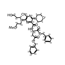 [C-]#[N+]c1nc(N2CCOCC2)c(C(=O)N[C@H](CC(=O)OCc2ccccc2)C(=O)OCc2ccccc2)nc1N(CCCO)CCOC